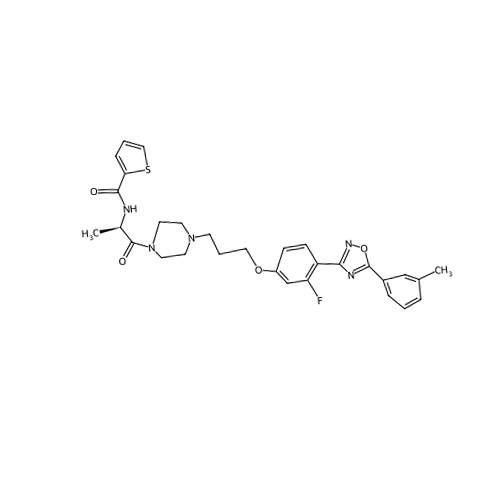 Cc1cccc(-c2nc(-c3ccc(OCCCN4CCN(C(=O)[C@@H](C)NC(=O)c5cccs5)CC4)cc3F)no2)c1